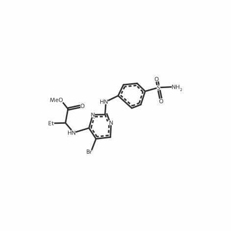 CCC(Nc1nc(Nc2ccc(S(N)(=O)=O)cc2)ncc1Br)C(=O)OC